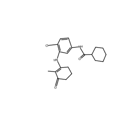 CC1=C(Nc2cc(NC(=O)C3CCCCC3)ccc2Cl)CCCC1=O